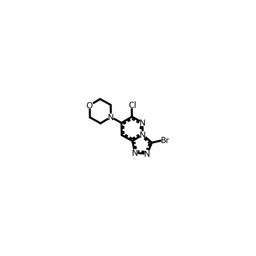 Clc1nn2c(Br)nnc2cc1N1CCOCC1